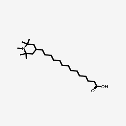 CN1C(C)(C)CC(CCCCCCCCCCCCCC(=O)O)CC1(C)C